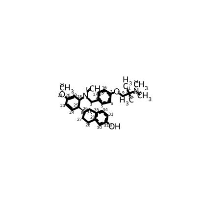 CCN(Cc1ccc(OCC(C)(C)N(C)C)cc1)C1C=C(OC)C=CC1[C@@H]1CCc2cc(O)ccc2C1